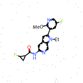 CCn1c(-c2cc(F)cnc2OC)cc2cc(NC(=O)C3CC3F)ncc21